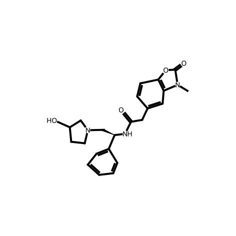 Cn1c(=O)oc2ccc(CC(=O)N[C@H](CN3CCC(O)C3)c3ccccc3)cc21